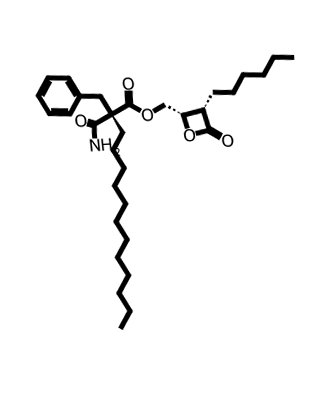 CCCCCCCCCCCC[C@](Cc1ccccc1)(C(N)=O)C(=O)OC[C@H]1OC(=O)[C@H]1CCCCCC